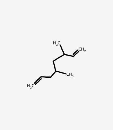 C=CCC(C)CC(C)C=C